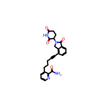 NC(=O)c1ncccc1CCCC#Cc1cccc2c1CN(C1CCC(=O)NC1=O)C2=O